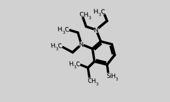 CCN(CC)c1ccc([SiH3])c(C(C)C)c1N(CC)CC